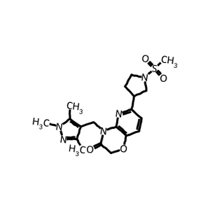 Cc1nn(C)c(C)c1CN1C(=O)COc2ccc(C3CCN(S(C)(=O)=O)C3)nc21